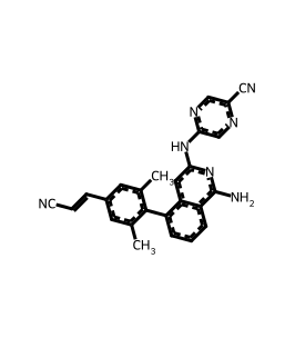 Cc1cc(/C=C/C#N)cc(C)c1-c1cccc2c(N)nc(Nc3cnc(C#N)cn3)cc12